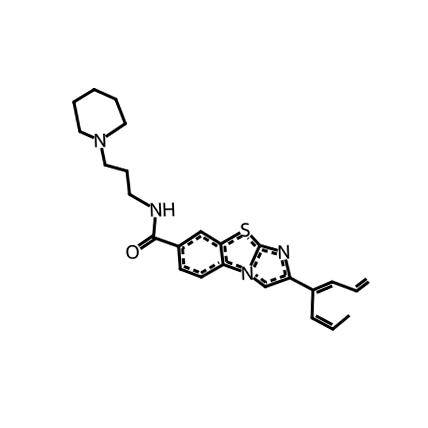 C=C/C=C(\C=C/C)c1cn2c(n1)sc1cc(C(=O)NCCCN3CCCCC3)ccc12